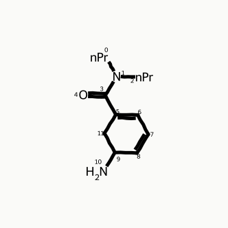 CCCN(CCC)C(=O)C1=CC=CC(N)C1